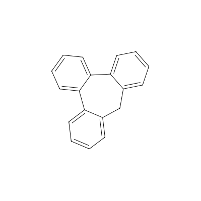 c1ccc2c(c1)Cc1ccccc1-c1ccccc1-2